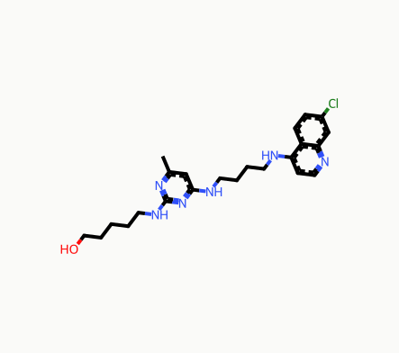 Cc1cc(NCCCCNc2ccnc3cc(Cl)ccc23)nc(NCCCCCO)n1